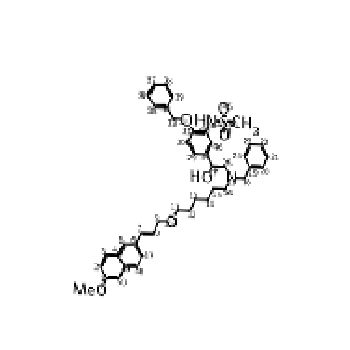 COc1ccc2cc(C=CCOCCCCCCN(Cc3ccccc3)CC(O)c3ccc(OCc4ccccc4)c(NS(C)(=O)=O)c3)ccc2c1